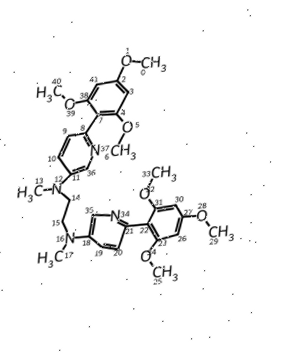 COc1cc(OC)c(-c2ccc(N(C)CCN(C)c3ccc(-c4c(OC)cc(OC)cc4OC)nc3)cn2)c(OC)c1